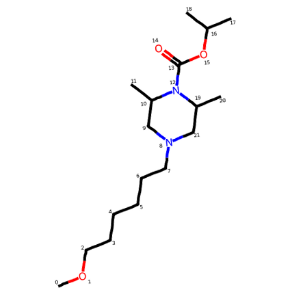 COCCCCCCN1CC(C)N(C(=O)OC(C)C)C(C)C1